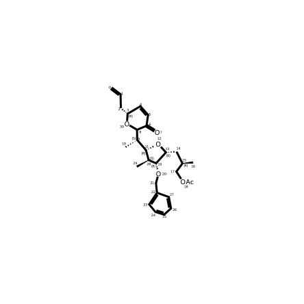 C=CC[C@@H]1C=CC(=O)C([C@@H](C)[C@@H]2O[C@H](C[C@@H](C)COC(C)=O)[C@H](OCc3ccccc3)[C@H]2C)O1